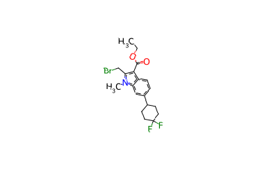 CCOC(=O)c1c(CBr)n(C)c2cc(C3CCC(F)(F)CC3)ccc12